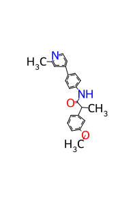 COc1cccc(C(C)C(=O)Nc2ccc(-c3ccnc(C)c3)cc2)c1